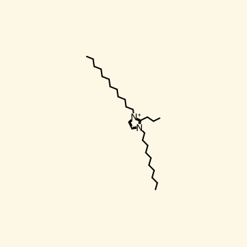 CCCCCCCCCCCC[n+]1ccn(CCCCCCCCCC)c1CCC